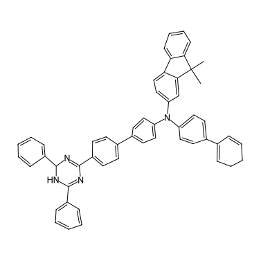 CC1(C)c2ccccc2-c2ccc(N(c3ccc(C4=CCCC=C4)cc3)c3ccc(-c4ccc(C5=NC(c6ccccc6)NC(c6ccccc6)=N5)cc4)cc3)cc21